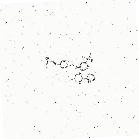 CC(C)CN(C(=O)c1ccco1)c1ccc(C(F)(F)F)cc1OCc1ccc(C=CC(=O)O)cc1